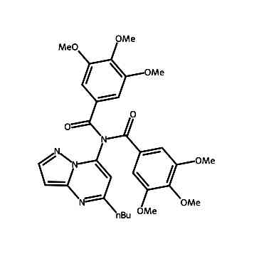 CCCCc1cc(N(C(=O)c2cc(OC)c(OC)c(OC)c2)C(=O)c2cc(OC)c(OC)c(OC)c2)n2nccc2n1